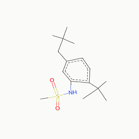 CC(C)(C)Cc1ccc(C(C)(C)C)c(NS(C)(=O)=O)c1